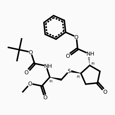 COC(=O)[C@H](CS[C@@H]1CC(=O)C[C@H]1NC(=O)Oc1ccccc1)NC(=O)OC(C)(C)C